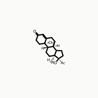 CC(=O)[C@@]1(O)CCC2[C@@H]3CCC4=CC(=O)CC[C@]4(C)[C@H]3CC[C@@]21C